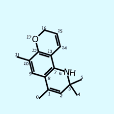 CC1=CC(C)(C)Nc2c1cc(C)c1c2C=CCO1